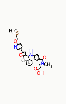 CSCCOc1ccc(-c2cc(C(Nc3ccc(C(=O)N(C)CCC(=O)O)cc3)C3CCCCC3)c(C)o2)cn1